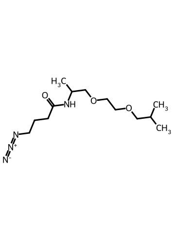 CC(C)COCCOCC(C)NC(=O)CCCN=[N+]=[N-]